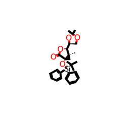 CC1(C)OC[C@@H]([C@H]2OC(=O)[C@]3(O[Si](c4ccccc4)(c4ccccc4)C(C)(C)C)C[C@]23C)O1